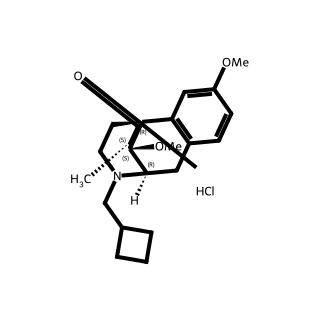 COc1ccc2c(c1)[C@]13CCN(CC4CCC4)[C@H](C2)[C@]1(OC)[C@@H](C)CC(=O)C3.Cl